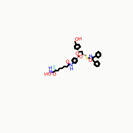 O=C(CCCCCC(F)C(=O)NO)Nc1ccc([C@H]2O[C@@H](CSc3nc(-c4ccccc4)c(-c4ccccc4)o3)C[C@@H](c3ccc(CO)cc3)O2)cc1